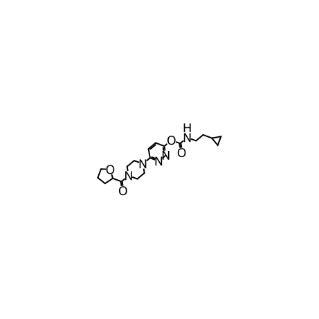 O=C(NCCC1CC1)Oc1ccc(N2CCN(C(=O)C3CCCO3)CC2)nn1